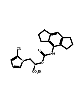 CCOC(=O)[C@@H](Cn1cncc1C#N)OC(=O)Nc1c2c(cc3c1CCC3)CCC2